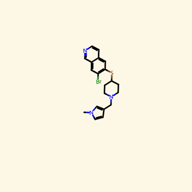 Cn1ccc(CN2CCC(Sc3cc4ccncc4cc3Br)CC2)c1